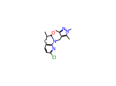 Cc1nn(C)c(C)c1CN1C(=O)C(C)Cc2ccc(Cl)nc21